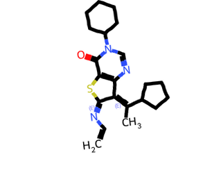 C=C/N=C1/Sc2c(ncn(C3CCCCC3)c2=O)/C1=C(/C)C1CCCC1